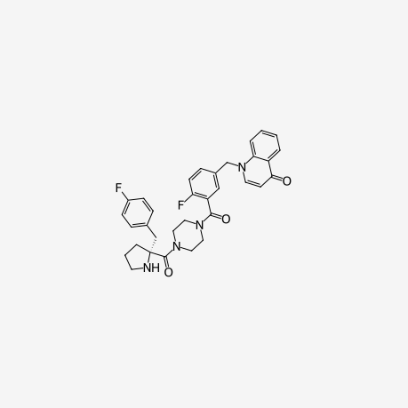 O=C(c1cc(Cn2ccc(=O)c3ccccc32)ccc1F)N1CCN(C(=O)[C@]2(Cc3ccc(F)cc3)CCCN2)CC1